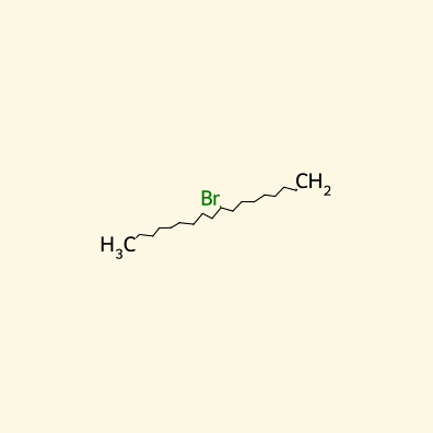 C=CCCCCCCC(Br)CCCCCCCCC